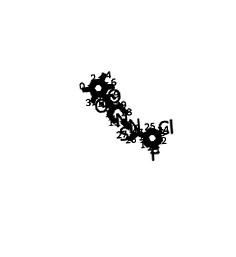 Cc1cc(C)c(C)c(S(=O)(=O)C2CCN(c3nc(-c4cc(F)cc(Cl)c4)cs3)CC2)c1C